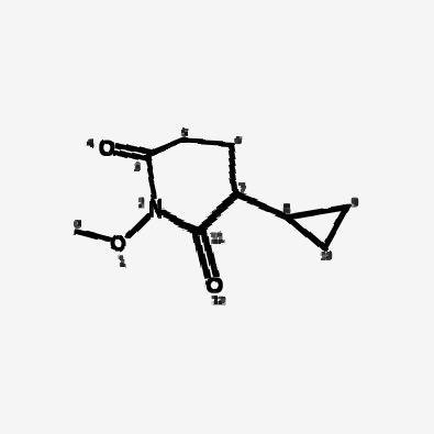 CON1C(=O)CCC(C2CC2)C1=O